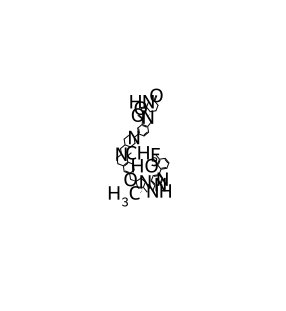 CC[C@@]12CNc3nnc(-c4cccc(F)c4O)cc3N1C[C@H](Oc1ccc3c(c1)CCN(CC1CCN(c4ccc5c(c4)C(=O)N([C@H]4CCC(=O)NC4=O)C5)CC1)C3C)C2